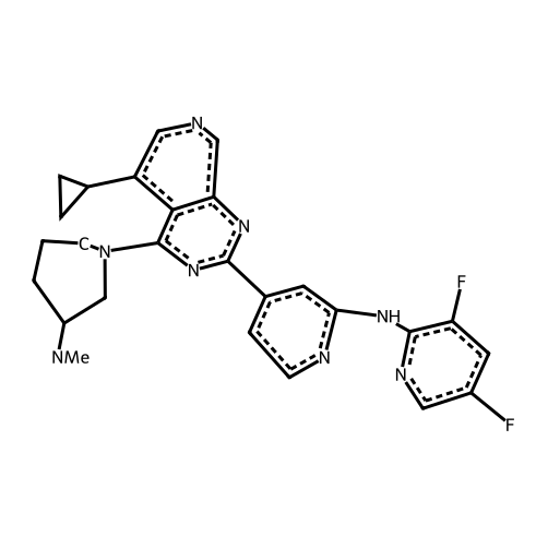 CNC1CCCN(c2nc(-c3ccnc(Nc4ncc(F)cc4F)c3)nc3cncc(C4CC4)c23)C1